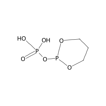 O=P(O)(O)OP1OCCCO1